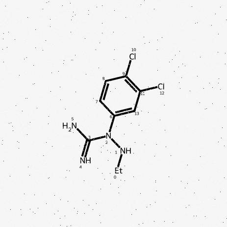 CCNN(C(=N)N)c1ccc(Cl)c(Cl)c1